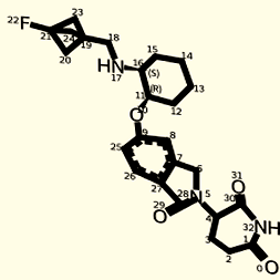 O=C1CCC(N2Cc3cc(O[C@@H]4CCCC[C@@H]4NCC45CC(F)(C4)C5)ccc3C2=O)C(=O)N1